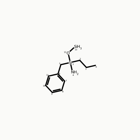 CCC[Si](N)(Cc1ccccc1)O[SiH3]